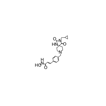 O=C(C=Cc1ccc(CN2CCC3(CC2)NC(=O)N(CC2CC2)C3=O)cc1)NO